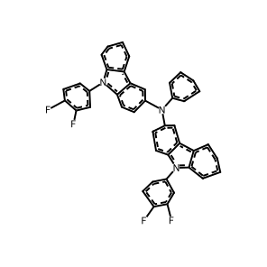 Fc1ccc(-n2c3ccccc3c3cc(N(c4ccccc4)c4ccc5c(c4)c4ccccc4n5-c4ccc(F)c(F)c4)ccc32)cc1F